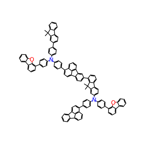 CC1(C)c2ccccc2-c2ccc(-c3ccc(N(c4ccc(-c5ccc6c7c(cccc57)-c5cc(-c7cccc8c7C(C)(C)c7cc(N(c9ccc(-c%10ccc%11c%12c(cccc%10%12)-c%10ccccc%10-%11)cc9)c9ccc(-c%10cccc%11c%10oc%10ccccc%10%11)cc9)ccc7-8)ccc5-6)cc4)c4ccc(-c5cccc6c5oc5ccccc56)cc4)cc3)cc21